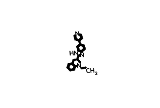 C=CCN1CC(c2nc3ccc(-c4ccncc4)cc3[nH]2)Cc2ccccc21